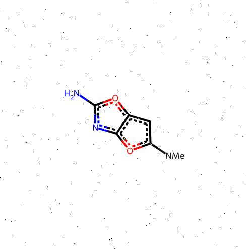 CNc1cc2oc(N)nc2o1